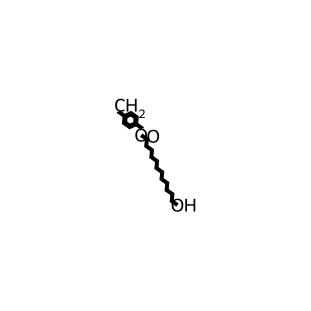 C=Cc1ccc(COC(=O)CCCCCCCCCCCO)cc1